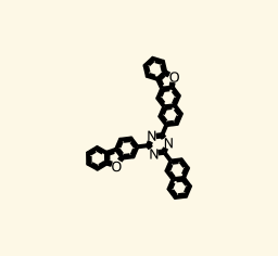 c1ccc2cc(-c3nc(-c4ccc5cc6oc7ccccc7c6cc5c4)nc(-c4ccc5c(c4)oc4ccccc45)n3)ccc2c1